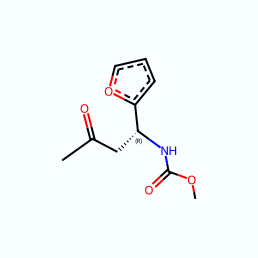 COC(=O)N[C@H](CC(C)=O)c1ccco1